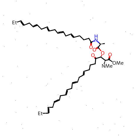 CCC=CCC=CCC=CCC=CCC=CCCCC(=O)N[C@@H](C)C(=O)O[C@H](C(=O)CCCC=CCC=CCC=CCC=CCC=CCC)[C@H](NC)C(=O)OC